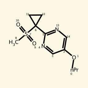 CCCOc1cnc(C2(S(C)(=O)=O)CC2)nc1